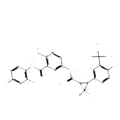 O=C(Nc1ccc(F)cc1F)c1cc(NC(=O)C2C(c3ccc(Br)c(C(F)(F)F)c3)C2(Cl)Cl)ccc1Cl